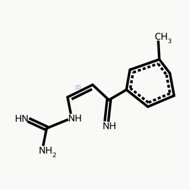 Cc1cccc(C(=N)/C=C\NC(=N)N)c1